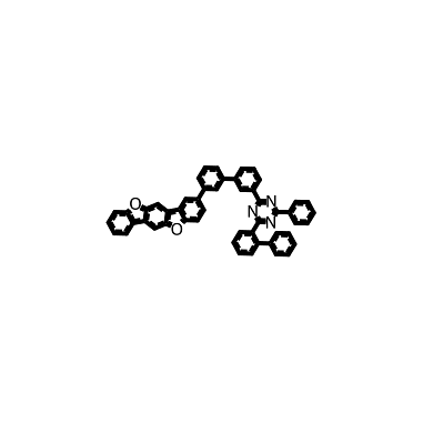 c1ccc(-c2nc(-c3cccc(-c4cccc(-c5ccc6oc7cc8c(cc7c6c5)oc5ccccc58)c4)c3)nc(-c3ccccc3-c3ccccc3)n2)cc1